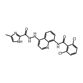 Cc1c[nH]c(C(=O)NNc2ccnc3c(NC(=O)c4c(Cl)cccc4Cl)cccc23)n1